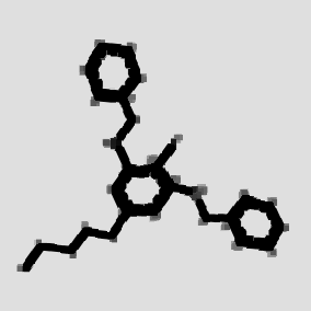 CCCCCc1cc(OCc2ccccc2)c(I)c(OCc2ccccc2)c1